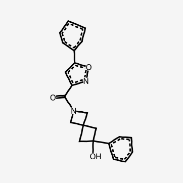 O=C(c1cc(-c2ccccc2)on1)N1CC2(C1)CC(O)(c1ccccc1)C2